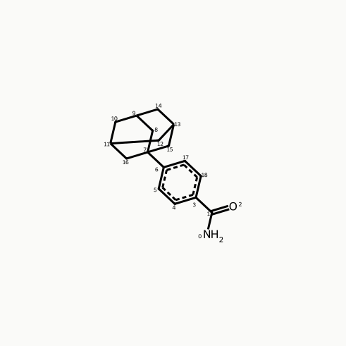 NC(=O)c1ccc(C23CC4CC(CC(C4)C2)C3)cc1